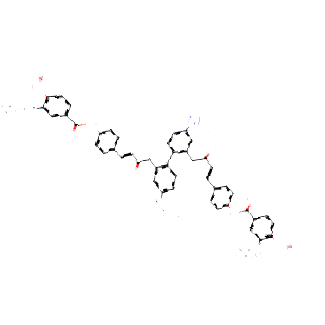 COc1cc(C(=O)Oc2ccc(/C=C/C(=O)Cc3cc(N)ccc3-c3ccc(N)cc3CC(=O)/C=C/c3ccc(OC(=O)c4ccc(OC(F)(F)F)c(OC)c4)cc3)cc2)ccc1OC(F)(F)F